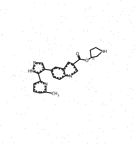 Cc1cccc(-c2[nH]ncc2-c2ccc3ncc(C(=O)O[C@H]4CCNC4)cc3c2)n1